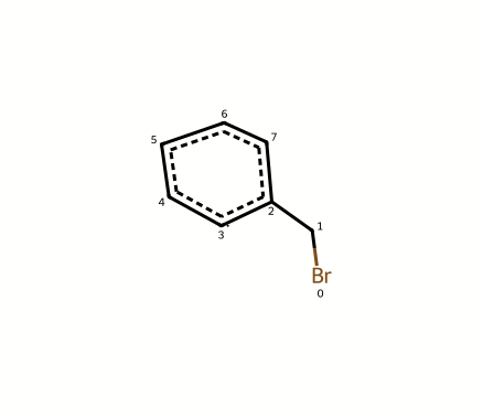 BrCc1[c]cccc1